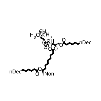 CCCCCCCCCCCCCCCC(=O)OC[C@H](COP(=O)(O)OCC[N+](C)(C)C)OC(=O)CCCCCCCC(CCCCCCCCC)OC(=O)CCCCCCCCCCCCCCC